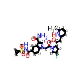 Cc1cccc(CC(O)[C@H]2C[C@@H](F)CN2C(=O)Cn2cc(C(N)=O)c3cc(C(=O)NS(=O)(=O)C4CC4)ccc32)n1